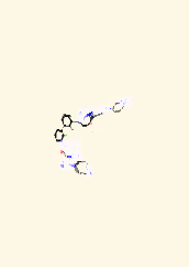 COc1cc(-c2cccc(-c3cccc(NC(=O)c4nc5c(n4C)CCN(C)C5)c3Cl)c2C)ncc1CNC1CCCNC1=O